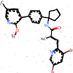 CCOc1ncc(C(F)(F)F)cc1-c1ccc(C2(NC(=O)/C(C#N)=C/c3ncc(Br)cc3Br)CCCC2)cc1